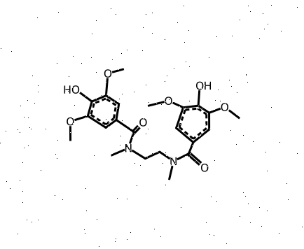 COc1cc(C(=O)N(C)CCN(C)C(=O)c2cc(OC)c(O)c(OC)c2)cc(OC)c1O